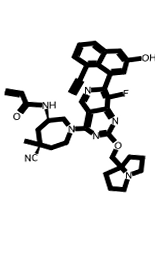 C#Cc1cccc2cc(O)cc(-c3ncc4c(N5CC[C@@](C)(C#N)C[C@@H](NC(=O)C=C)C5)nc(OCC56CCCN5CCC6)nc4c3F)c12